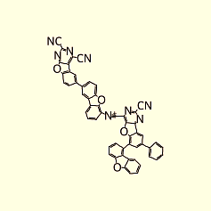 N#Cc1nc(C#N)c2c(n1)oc1ccc(-c3ccc4oc5c([N+]#Cc6nc(C#N)nc7c6oc6c(-c8cccc9oc%10ccccc%10c89)cc(-c8ccccc8)cc67)cccc5c4c3)cc12